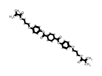 C=C(C)C(=O)OCCCOc1ccc(OC(=O)C2CCC(C(=O)Oc3ccc(OCCCOC(=O)C(=C)C)cc3)CC2)cc1